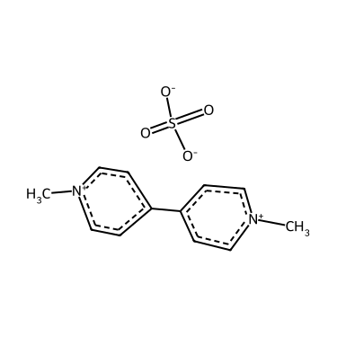 C[n+]1ccc(-c2cc[n+](C)cc2)cc1.O=S(=O)([O-])[O-]